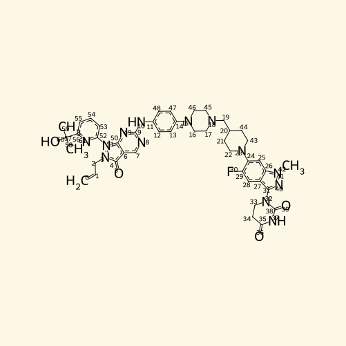 C=CCn1c(=O)c2cnc(Nc3ccc(N4CCN(CC5CCN(c6cc7c(cc6F)c(N6CCC(=O)NC6=O)nn7C)CC5)CC4)cc3)nc2n1-c1cccc(C(C)(C)O)n1